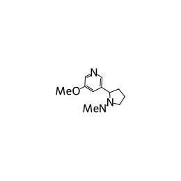 CNN1CCCC1c1cncc(OC)c1